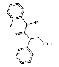 Cc1ccccc1N(C(=O)C(NC(=O)O)c1ccccc1)C(C)C